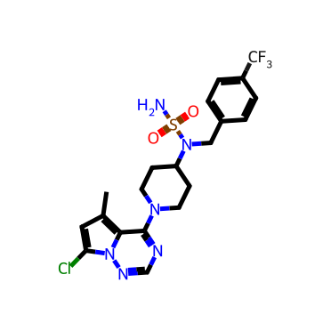 Cc1cc(Cl)n2ncnc(N3CCC(N(Cc4ccc(C(F)(F)F)cc4)S(N)(=O)=O)CC3)c12